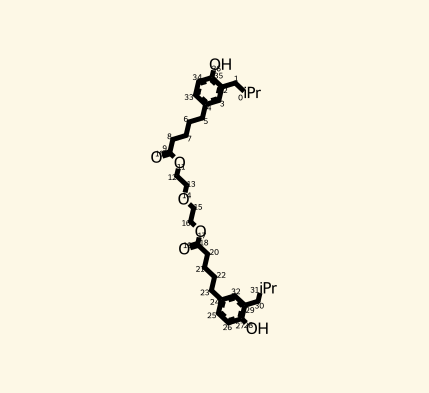 CC(C)Cc1cc(CCCCC(=O)OCCOCCOC(=O)CCCCc2ccc(O)c(CC(C)C)c2)ccc1O